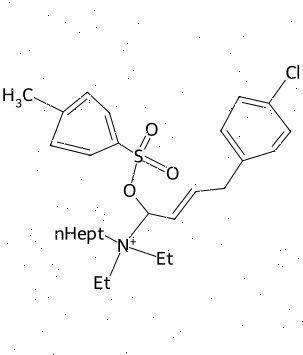 CCCCCCC[N+](CC)(CC)C(C=CCc1ccc(Cl)cc1)OS(=O)(=O)c1ccc(C)cc1